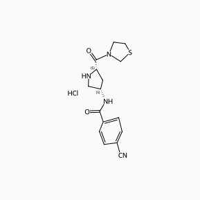 Cl.N#Cc1ccc(C(=O)N[C@@H]2CN[C@H](C(=O)N3CCSC3)C2)cc1